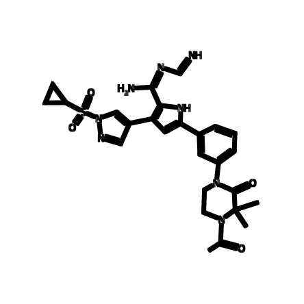 CC(=O)N1CCN(c2cccc(-c3cc(-c4cnn(S(=O)(=O)C5CC5)c4)c(/C(N)=N\C=N)[nH]3)c2)C(=O)C1(C)C